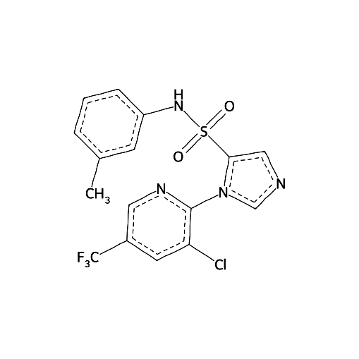 Cc1cccc(NS(=O)(=O)c2cncn2-c2ncc(C(F)(F)F)cc2Cl)c1